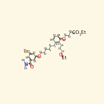 CCOCCCc1c(CCCCCCOc2cc(Br)cc(C(=O)N(C)C)c2)cccc1OCCCC(=O)OCC